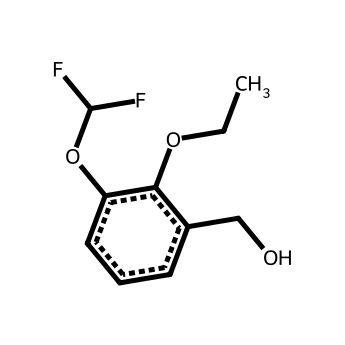 CCOc1c(CO)cccc1OC(F)F